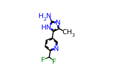 Cc1nc(N)[nH]c1-c1ccc(C(F)F)nc1